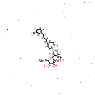 CSC1O[C@H]([C@H](NC(=O)[C@@H]2CC=C(/C=C/CCc3cccc(Cl)c3)CCN2)[C@H](C)Cl)C(O)C(O)[C@H]1O